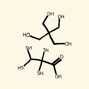 O=C(O)C(S)(S)C(S)S.OCC(CO)(CO)CO